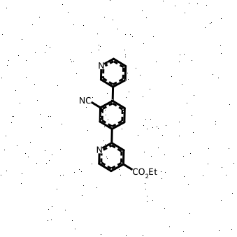 CCOC(=O)c1ccnc(-c2ccc(-c3cccnc3)c(C#N)c2)c1